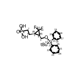 CC(C)(C)[Si](OC[C@H]1[C@@H](CCP(=O)(O)O)C1(F)F)(c1ccccc1)c1ccccc1